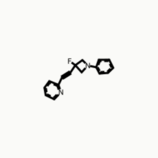 FC1(C#Cc2ccccn2)CN(c2ccccc2)C1